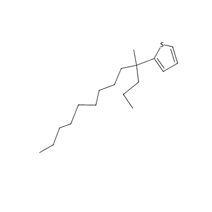 CCCCCCCCCC(C)(CCC)c1cccs1